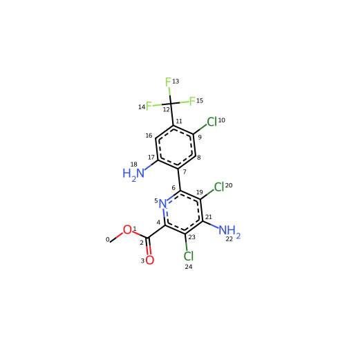 COC(=O)c1nc(-c2cc(Cl)c(C(F)(F)F)cc2N)c(Cl)c(N)c1Cl